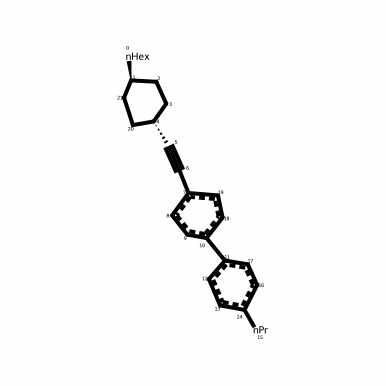 CCCCCC[C@H]1CC[C@H](C#Cc2ccc(-c3ccc(CCC)cc3)cc2)CC1